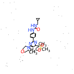 C[C@H]1COCCN1c1cc(C(C)(C)S(C)(=O)=O)nc(-c2ccc(NC(=O)NCC3CC3)cc2)n1